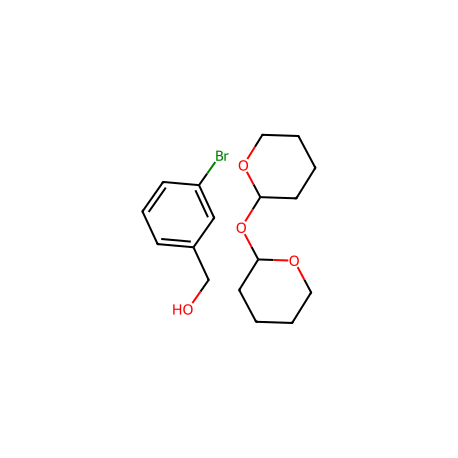 C1CCC(OC2CCCCO2)OC1.OCc1cccc(Br)c1